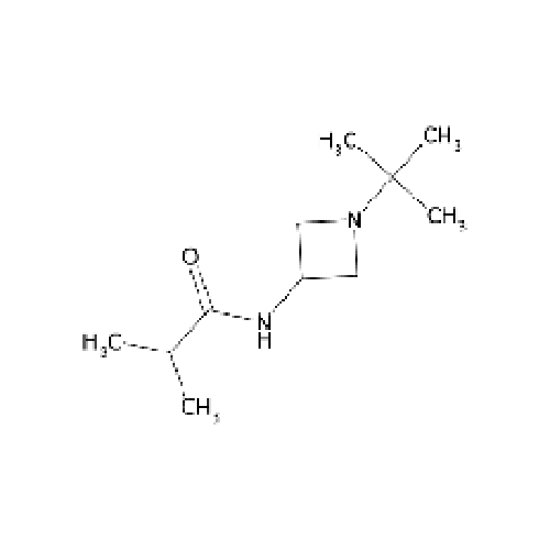 CC(C)C(=O)NC1CN(C(C)(C)C)C1